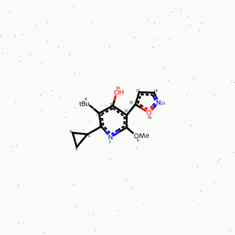 COc1nc(C2CC2)c(C(C)(C)C)c(O)c1-c1ccno1